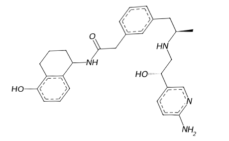 C[C@H](Cc1cccc(CC(=O)NC2CCCc3c(O)cccc32)c1)NC[C@@H](O)c1ccc(N)nc1